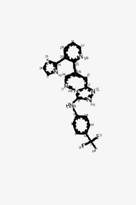 FC(F)(F)c1ccc(Nc2nnc3cc(-c4ncccc4-c4nccs4)cnn23)cc1